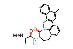 CN[C@@H](C)C(=O)N[C@H]1CCc2ccccc2N(Cc2c(C)cc(C)c3ccccc23)C1=O